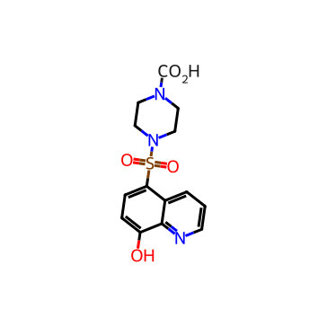 O=C(O)N1CCN(S(=O)(=O)c2ccc(O)c3ncccc23)CC1